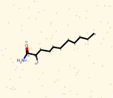 CCCCCCCCCC(I)C(N)=O